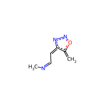 C=c1onn/c1=C/C=N\C